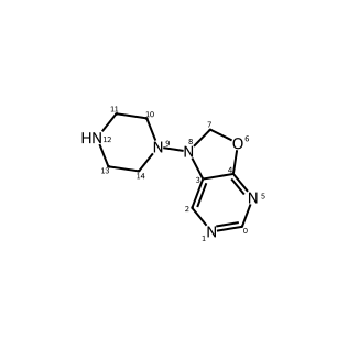 c1ncc2c(n1)OCN2N1CCNCC1